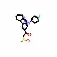 C[S+]([O-])CC(=O)C1=CC23NN(c4ccc(F)cc4)C1=C2C=C1C=CCCC13